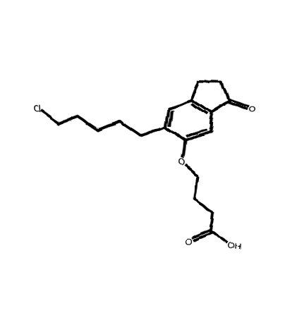 O=C(O)CCCOc1cc2c(cc1CCCCCCl)CCC2=O